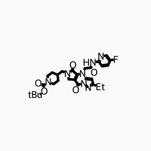 CCc1cc2n(CC(=O)Nc3ccc(F)cn3)c3c(c(=O)n2n1)CN(CC1CCN(C(=O)OC(C)(C)C)CC1)C3=O